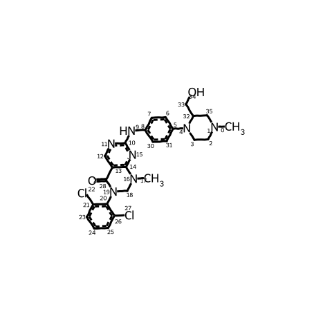 CN1CCN(c2ccc(Nc3ncc4c(n3)N(C)CN(c3c(Cl)cccc3Cl)C4=O)cc2)C(CO)C1